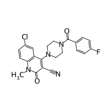 Cn1c(=O)c(C#N)c(N2CCN(C(=O)c3ccc(F)cc3)CC2)c2cc(Cl)ccc21